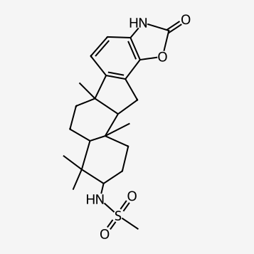 CC12CCC3C(C)(C)C(NS(C)(=O)=O)CCC3(C)C1Cc1c2ccc2[nH]c(=O)oc12